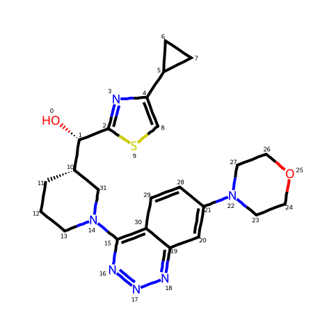 O[C@H](c1nc(C2CC2)cs1)[C@H]1CCCN(c2nnnc3cc(N4CCOCC4)ccc23)C1